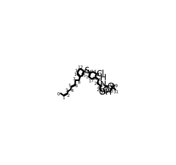 C/C=C\CC/C=C/CCC1=CCCC(SC2=CCC(CCC(CO)NC(=O)OC(C)(C)C)C(Cl)C2)=C1